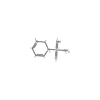 N=S(N)(=O)N1C=CC=NC1